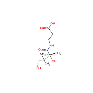 CC(C)(CO)[C@@](C)(O)C(=O)NCCC(=O)O